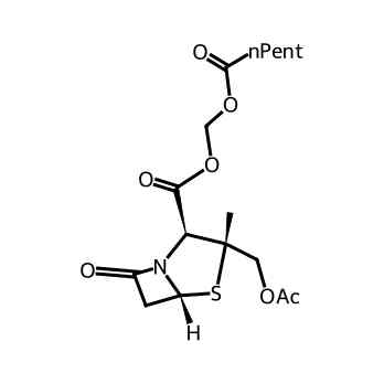 CCCCCC(=O)OCOC(=O)[C@@H]1N2C(=O)C[C@H]2S[C@@]1(C)COC(C)=O